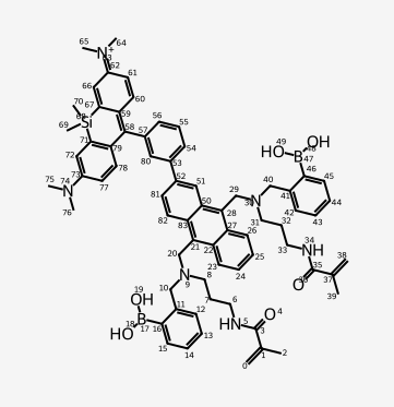 C=C(C)C(=O)NCCCN(Cc1ccccc1B(O)O)Cc1c2ccccc2c(CN(CCCNC(=O)C(=C)C)Cc2ccccc2B(O)O)c2cc(-c3cccc(C4=C5C=CC(=[N+](C)C)C=C5[Si](C)(C)c5cc(N(C)C)ccc54)c3)ccc12